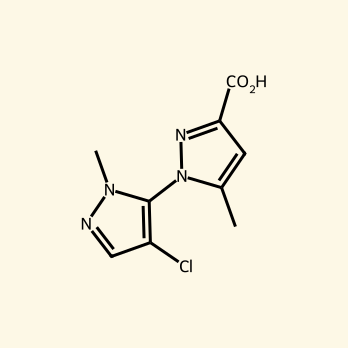 Cc1cc(C(=O)O)nn1-c1c(Cl)cnn1C